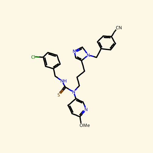 COc1ccc(N(CCCc2cncn2Cc2ccc(C#N)cc2)C(=S)NCc2cccc(Cl)c2)cn1